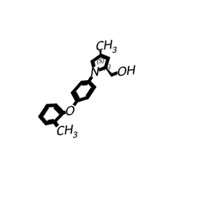 Cc1ccccc1Oc1ccc(N2C[C@@H](C)C[C@H]2CO)cc1